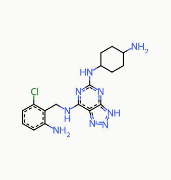 Nc1cccc(Cl)c1CNc1nc(NC2CCC(N)CC2)nc2[nH]nnc12